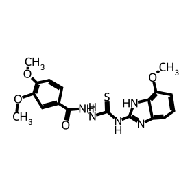 COc1ccc(C(=O)NNC(=S)Nc2nc3cccc(OC)c3[nH]2)cc1OC